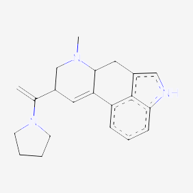 C=C(C1C=C2c3cccc4[nH]cc(c34)CC2N(C)C1)N1CCCC1